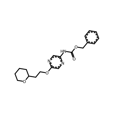 O=C(Nc1cnc(OCCC2CCCCO2)cn1)OCc1ccccc1